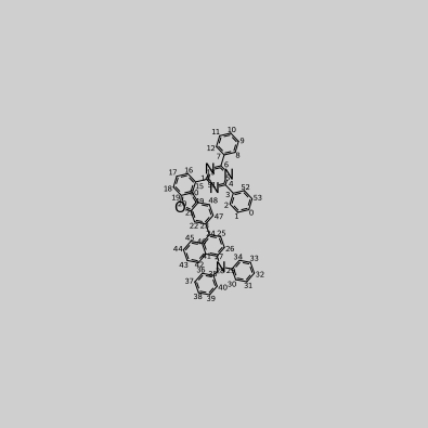 c1ccc(-c2nc(-c3ccccc3)nc(-c3cccc4oc5cc(-c6ccc(N(c7ccccc7)c7ccccc7)c7ccccc67)ccc5c34)n2)cc1